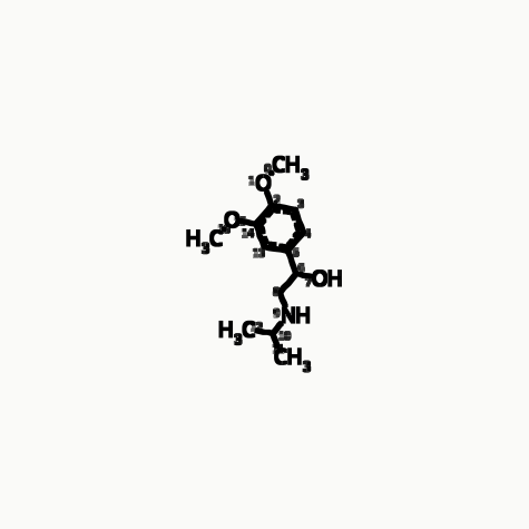 COc1ccc(C(O)CNC(C)C)cc1OC